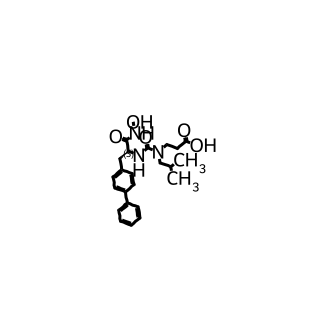 CC(C)CN(CCC(=O)O)C(=O)N[C@@H](Cc1ccc(-c2ccccc2)cc1)C(=O)NO